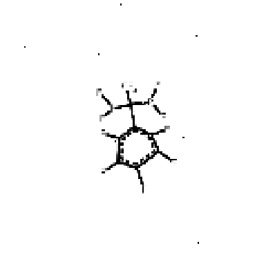 Fc1c(F)c(F)c(C(P(F)F)(P(F)F)C(F)(F)F)c(F)c1F